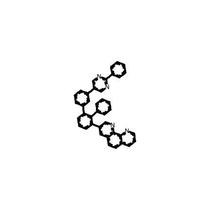 c1ccc(-c2ncc(-c3cccc(-c4cccc(-c5cnc6c(ccc7cccnc76)c5)c4-c4ccccc4)c3)cn2)cc1